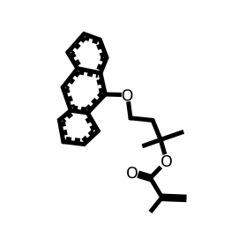 C=C(C)C(=O)OC(C)(C)CCOc1c2ccccc2cc2ccccc12